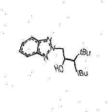 CCC(C)C(C(O)Cn1nc2ccccc2n1)C(C)(C)C